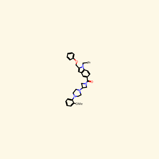 COc1ccccc1N1CCN(C2CN(C(=O)c3ccc4c(c3)cc(COc3ccccc3)n4CC(C)C)C2)CC1